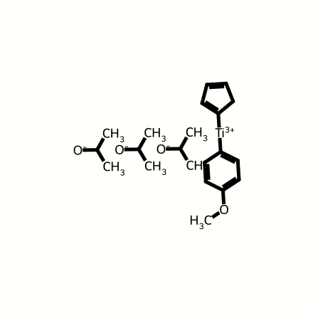 CC(C)[O-].CC(C)[O-].CC(C)[O-].COc1cc[c]([Ti+3][C]2=CC=CC2)cc1